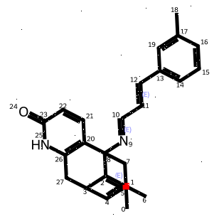 C/C=C1\C2C=C(C)CC1(/N=C/C=C/c1cccc(C)c1)c1ccc(=O)[nH]c1C2